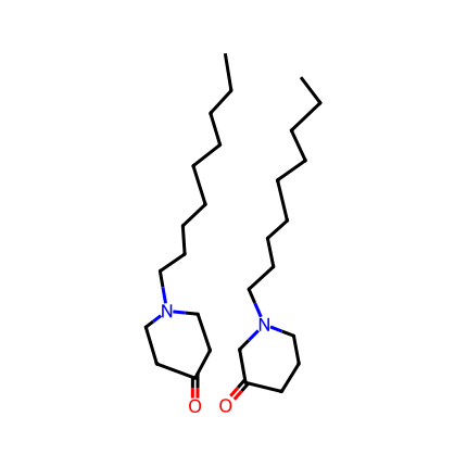 CCCCCCCCCN1CCC(=O)CC1.CCCCCCCCCN1CCCC(=O)C1